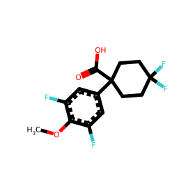 COc1c(F)cc(C2(C(=O)O)CCC(F)(F)CC2)cc1F